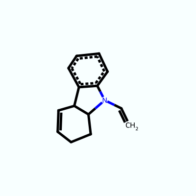 C=CN1c2ccccc2C2C=CCCC21